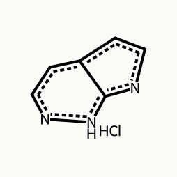 Cl.c1cc2ccnc-2[nH]n1